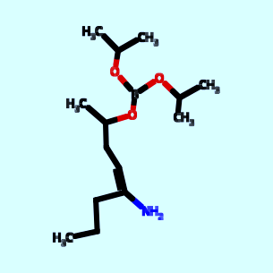 CCC/C(N)=C\CC(C)OB(OC(C)C)OC(C)C